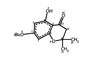 CC(C)COc1cc(O)c2c(c1)OC(C)(C)CC2=O